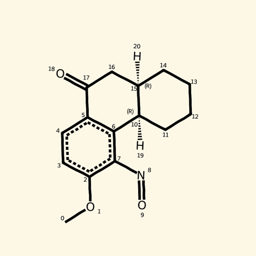 COc1ccc2c(c1N=O)[C@@H]1CCCC[C@@H]1CC2=O